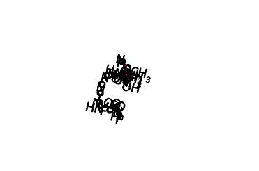 C[C@H](NC(=O)[C@@H]1C[C@@H](O)CN1C(=O)[C@@H](NC(=O)CN1CCN(CC2CCN(c3ccc(-c4cnc5[nH]cc(C(=O)c6c(F)ccc(N(N7CC[C@@H](F)C7)[SH](=O)=O)c6F)c5c4)cc3)CC2)CC1)C(C)(C)C)c1ccc(-c2ccncc2)cc1